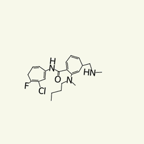 CCCCN(C)C1=CC(CNC)C=CC=C1C(=O)NC1=CC(Cl)=C(F)CC=C1